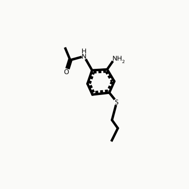 CCCSc1ccc(NC(C)=O)c(N)c1